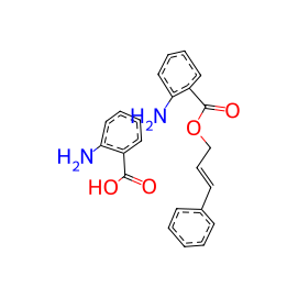 Nc1ccccc1C(=O)O.Nc1ccccc1C(=O)OCC=Cc1ccccc1